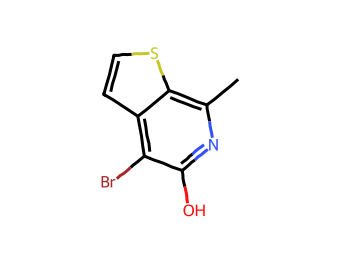 Cc1nc(O)c(Br)c2ccsc12